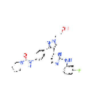 O=C(Nc1ccc(-c2nn(CCO)cc2-c2ccnc(Nc3cccc(F)c3)n2)cc1)N1CCCC1